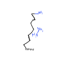 CCCCCCCCCCCCN.NN